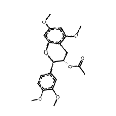 COc1cc(OC)c2c(c1)O[C@H](c1ccc(OC)c(OC)c1)[C@@H](OC(C)=O)C2